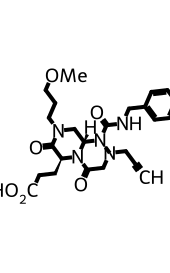 C#CCN1CC(=O)N2[C@@H](CCC(=O)O)C(=O)N(CCCOC)C[C@@H]2N1C(=O)NCc1ccccc1